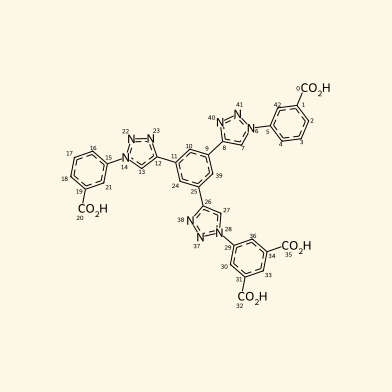 O=C(O)c1cccc(-n2cc(-c3cc(-c4cn(-c5cccc(C(=O)O)c5)nn4)cc(-c4cn(-c5cc(C(=O)O)cc(C(=O)O)c5)nn4)c3)nn2)c1